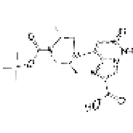 C[C@@H]1CN(c2cc(=O)[nH]n3cc(C(=O)O)nc23)[C@@H](C)CN1C(=O)OC(C)(C)C